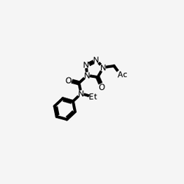 CCN(C(=O)n1nnn(CC(C)=O)c1=O)c1ccccc1